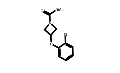 CNC(=O)N1CC(Oc2ccccc2Cl)C1